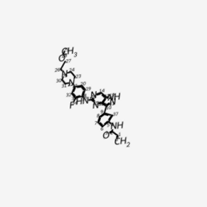 C=CC(=O)Nc1cccc(-c2n[nH]c3cnc(Nc4ccc(N5CCN(CCOC)CC5)cc4F)nc23)c1